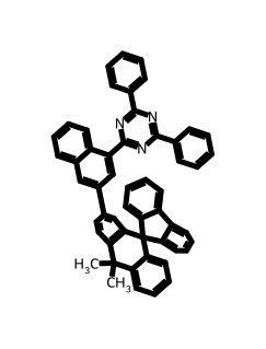 CC1(C)c2ccccc2C2(c3ccccc3-c3ccccc32)c2cc(-c3cc(-c4nc(-c5ccccc5)nc(-c5ccccc5)n4)c4ccccc4c3)ccc21